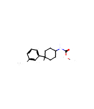 COc1cccc(C2(C(=O)O)CCC(NC(=O)OC(C)(C)C)CC2)c1